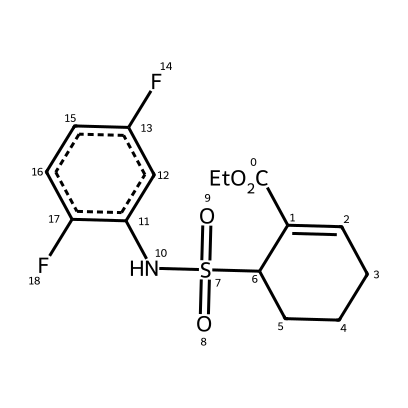 CCOC(=O)C1=CCCCC1S(=O)(=O)Nc1cc(F)ccc1F